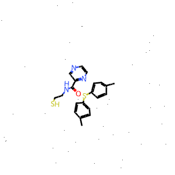 Cc1ccc(Sc2ccc(C)cc2)cc1.O=C(NCCS)c1cnccn1